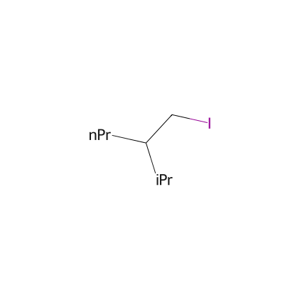 CCCC(CI)C(C)C